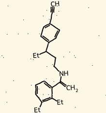 C#Cc1ccc(C(CC)CCNC(=C)c2cccc(CC)c2CC)cc1